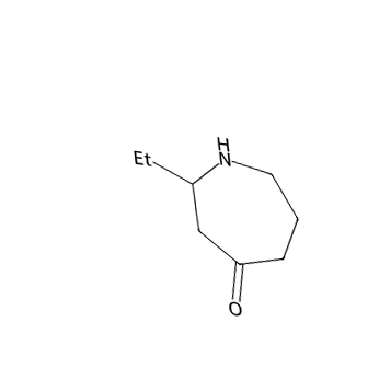 CCC1CC(=O)CCCN1